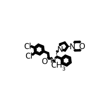 CN(C(=O)Cc1ccc(Cl)c(Cl)c1)[C@H](CN1CC[C@H](N2CCOCC2)C1)c1ccccc1